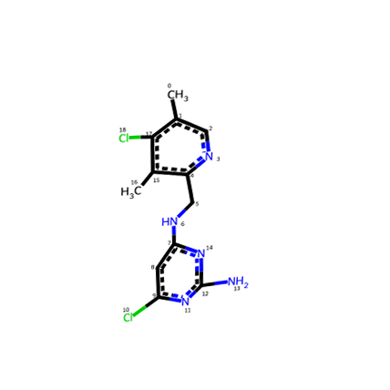 Cc1cnc(CNc2cc(Cl)nc(N)n2)c(C)c1Cl